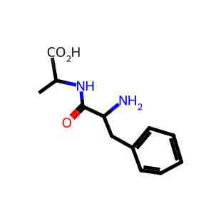 CC(NC(=O)C(N)Cc1ccccc1)C(=O)O